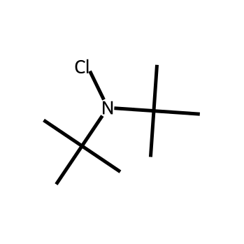 CC(C)(C)N(Cl)C(C)(C)C